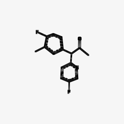 CC(=O)C(c1ccc(F)c(C)c1)c1ccc(F)cn1